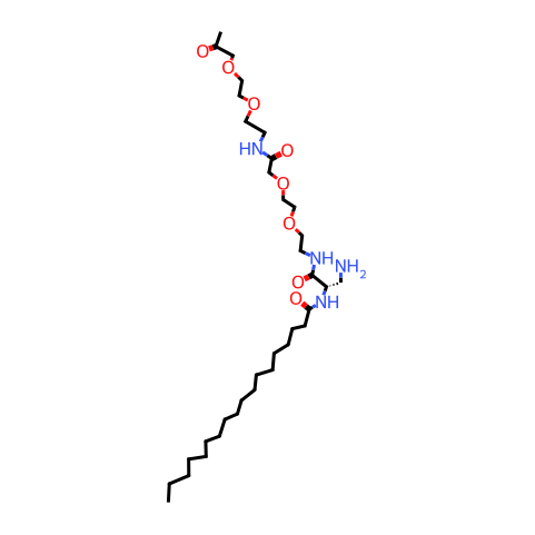 CCCCCCCCCCCCCCCCCC(=O)N[C@@H](CN)C(=O)NCCOCCOCC(=O)NCCOCCOCC(C)=O